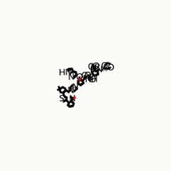 CN(C)c1ccccc1-c1csc(C2=C(CN3CCN(c4ccc(C(=O)NS(=O)(=O)c5ccc(NC[C@H]6COCCO6)c([N+](=O)[O-])c5)c(Oc5cnc6[nH]ccc6c5)c4)CC3)CCC(C)(C)C2)c1